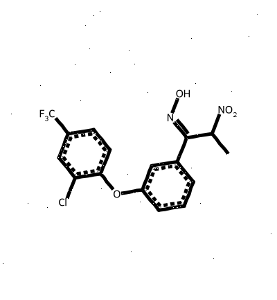 CC(C(=NO)c1cccc(Oc2ccc(C(F)(F)F)cc2Cl)c1)[N+](=O)[O-]